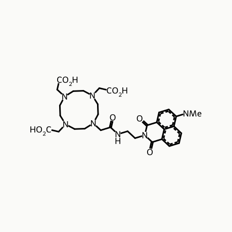 CNc1ccc2c3c(cccc13)C(=O)N(CCNC(=O)CN1CCN(CC(=O)O)CCN(CC(=O)O)CCN(CC(=O)O)CC1)C2=O